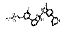 NS(=O)(=O)CCc1cc(F)cc(-c2cccc3[nH]c(-c4n[nH]c5cnc(-c6cncnc6)cc45)nc23)c1